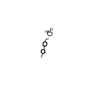 Fc1ccc(-c2ccc(CC[C@H]3CC[Si@H](Cl)CC3)cc2)cc1